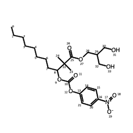 CCCCCCCCC(OC(=O)Oc1ccc([N+](=O)[O-])cc1)C(C)(C)C(=O)OCC(CO)CO